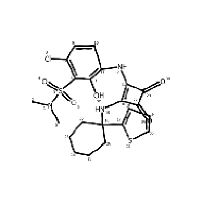 CN(C)S(=O)(=O)c1c(Cl)ccc(Nc2c(NC3(c4cccs4)CCCCC3)c(=O)c2=O)c1O